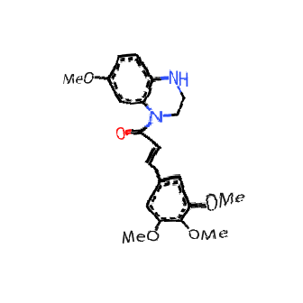 COc1ccc2c(c1)N(C(=O)C=Cc1cc(OC)c(OC)c(OC)c1)CCN2